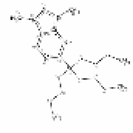 CCC[CH2][Sn]([CH2]CCC)([CH2]CCC)[c]1ncc2c(n1)c(C)nn2C